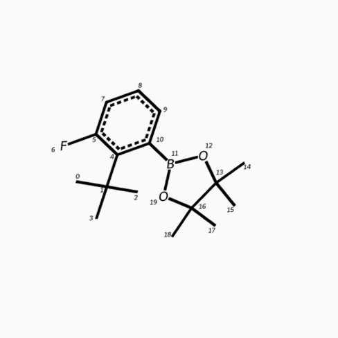 CC(C)(C)c1c(F)cccc1B1OC(C)(C)C(C)(C)O1